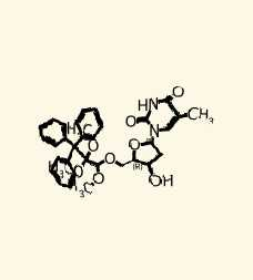 COC(OC[C@H]1O[C@@H](n2cc(C)c(=O)[nH]c2=O)CC1O)C(OC)(OC)C(c1ccccc1)(c1ccccc1)c1ccccc1